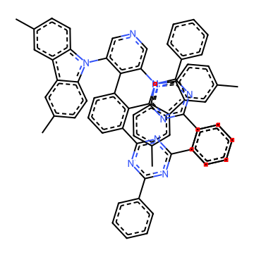 Cc1ccc2c(c1)c1cc(C)ccc1n2-c1cncc(-n2c3ccc(C)cc3c3cc(C)ccc32)c1-c1cccc(-c2nc(-c3ccccc3)nc(-c3ccccc3)n2)c1-c1nc(-c2ccccc2)nc(-c2ccccc2)n1